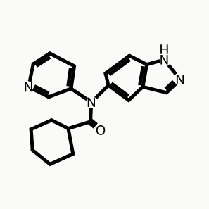 O=C(C1CCCCC1)N(c1cccnc1)c1ccc2[nH]ncc2c1